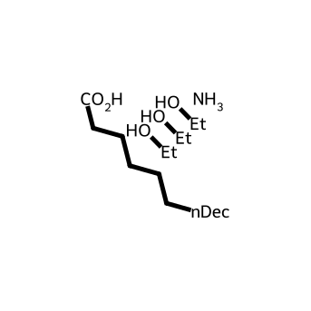 CCCCCCCCCCCCCCCC(=O)O.CCO.CCO.CCO.N